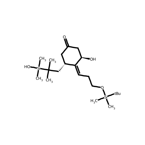 CC(C)(C[C@@H]1CC(=O)C[C@@H](O)C1=CCCO[Si](C)(C)C(C)(C)C)[Si](C)(C)O